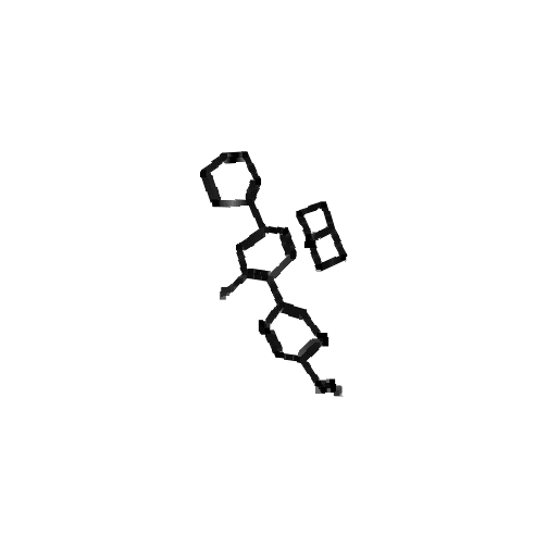 C1CN2CCC12.Nc1cnc(-c2ccc(-c3ccccc3)cc2F)cn1